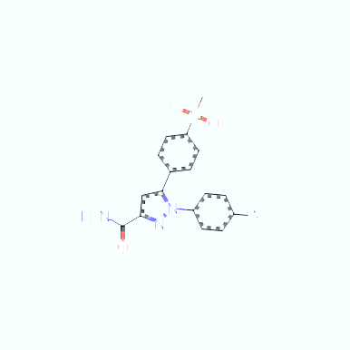 CC(=O)c1ccc(-n2nc(C(N)=O)cc2-c2ccc(S(C)(=O)=O)cc2)cc1